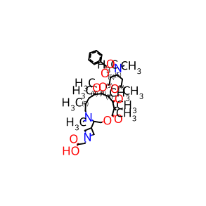 CO[C@]1(C)C[C@@H](C)CN(C)C(C2CN(CC(=O)O)C2)COC(=O)C(C)(C)C(=O)[C@H](C)[C@H]1O[C@@H]1O[C@H](C)C[C@H](N(C)C)[C@H]1OC(=O)c1ccccc1